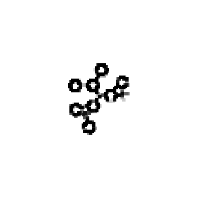 CC1(C)c2ccccc2-c2cc(N(c3cc(-c4ccccc4)cc(-c4ccccc4)c3)c3ccc4c(c3)c3ccccc3n4-c3ccccc3)ccc21